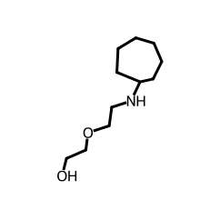 OCCOCCNC1CCCCCC1